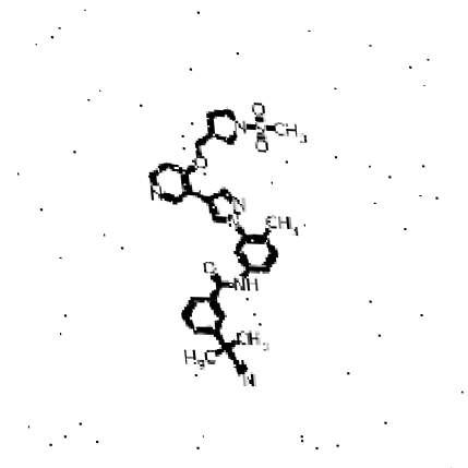 Cc1ccc(NC(=O)c2cccc(C(C)(C)C#N)c2)cc1-n1cc(C2=C(OCC3CCN(S(C)(=O)=O)C3)CCN=C2)cn1